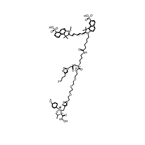 CC[N+]1=C(/C=C/C=C/C=C2/N(CCCCCC(=O)NCCCC[C@H](NC(=O)Cn3cc(CCCF)nn3)C(=O)NCCOCCOCCOCCn3cc(CN([C@@H](C(=O)NO)C(C)C)S(=O)(=O)c4ccc(OC)cc4)nn3)c3ccc4ccc(S(=O)(=O)O)cc4c3C2(C)C)C(C)(C)c2c1ccc1c(S(=O)(=O)O)cccc21